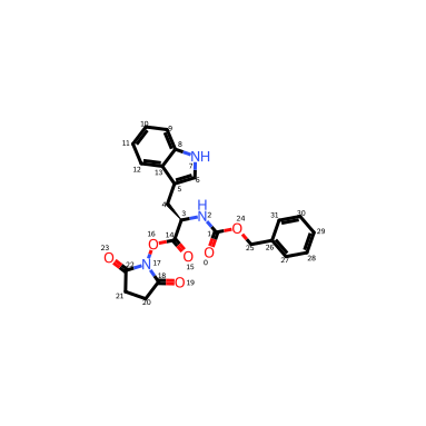 O=C(N[C@H](Cc1c[nH]c2ccccc12)C(=O)ON1C(=O)CCC1=O)OCc1ccccc1